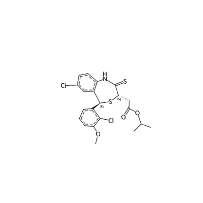 COc1cccc([C@@H]2S[C@@H](CC(=O)OC(C)C)C(=S)Nc3ccc(Cl)cc32)c1Cl